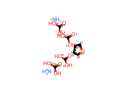 N.N.O=C(O)O.O=C(O)O.O=C(O)O.O=C(O)O.c1ccoc1